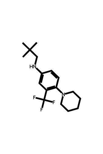 CC(C)(C)CNc1ccc(N2CCCCC2)c(C(F)(F)F)c1